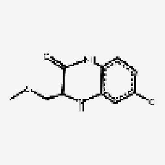 CSC[C@@H]1Nc2cc(Cl)ccc2NC1=O